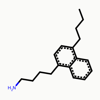 CCCCc1ccc(CCCCN)c2ccccc12